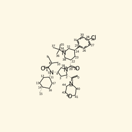 C=C([C@@H]1C[C@H](N(C(=O)C(C)C)[C@H]2CC[C@@H](C)CC2)CN1C(=O)[C@H]1C[C@H](c2ccc(Cl)cc2)CN(C(C)(C)C)C1)N1CCOCC1